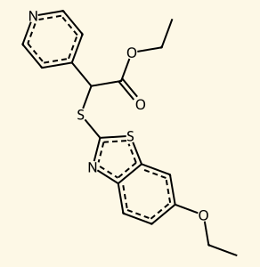 CCOC(=O)C(Sc1nc2ccc(OCC)cc2s1)c1ccncc1